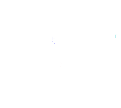 O=C(NC1CCCc2ccccc2C1)c1ccc(F)cc1F